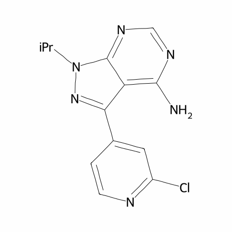 CC(C)n1nc(-c2ccnc(Cl)c2)c2c(N)ncnc21